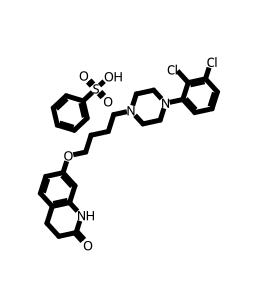 O=C1CCc2ccc(OCCCCN3CCN(c4cccc(Cl)c4Cl)CC3)cc2N1.O=S(=O)(O)c1ccccc1